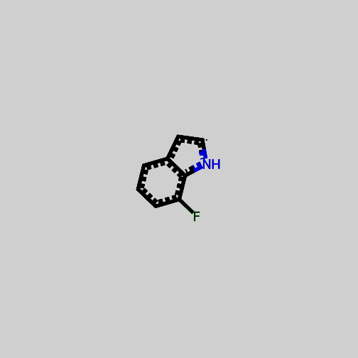 Fc1cccc2c[c][nH]c12